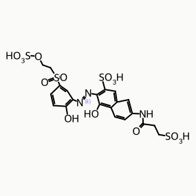 O=C(CCS(=O)(=O)O)Nc1ccc2c(O)c(/N=N/c3cc(S(=O)(=O)CCOS(=O)(=O)O)ccc3O)c(S(=O)(=O)O)cc2c1